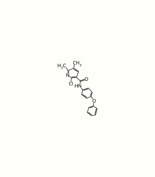 Cc1cc(C(=O)Nc2ccc(Oc3ccccc3)cc2)c(Cl)nc1C